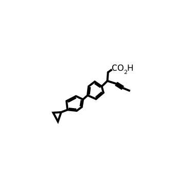 CC#CC(CC(=O)O)c1ccc(-c2ccc(C3CC3)cc2)cc1